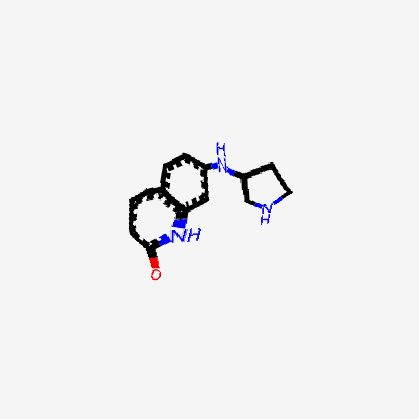 O=c1ccc2ccc(NC3CCNC3)cc2[nH]1